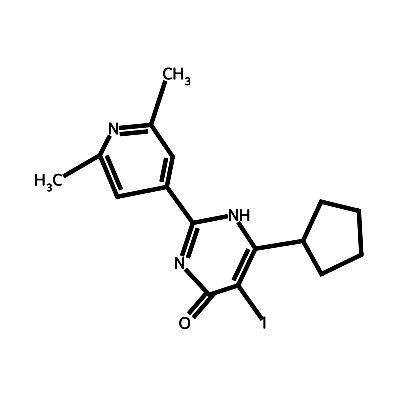 Cc1cc(-c2nc(=O)c(I)c(C3CCCC3)[nH]2)cc(C)n1